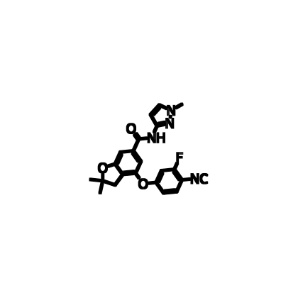 [C-]#[N+]c1ccc(Oc2cc(C(=O)Nc3ccn(C)n3)cc3c2CC(C)(C)O3)cc1F